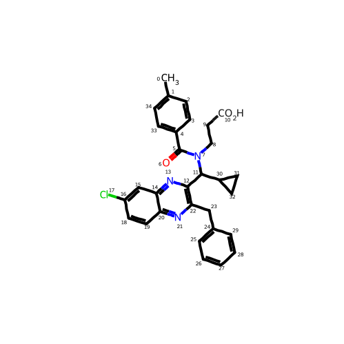 Cc1ccc(C(=O)N(CCC(=O)O)C(c2nc3cc(Cl)ccc3nc2Cc2ccccc2)C2CC2)cc1